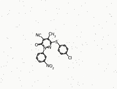 Cc1c(Sc2ccc(Cl)cc2)nn(-c2cccc([N+](=O)[O-])c2)c(=O)c1C#N